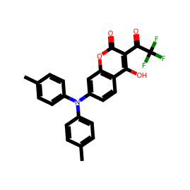 Cc1ccc(N(c2ccc(C)cc2)c2ccc3c(O)c(C(=O)C(F)(F)F)c(=O)oc3c2)cc1